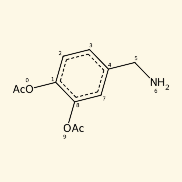 CC(=O)Oc1ccc(CN)cc1OC(C)=O